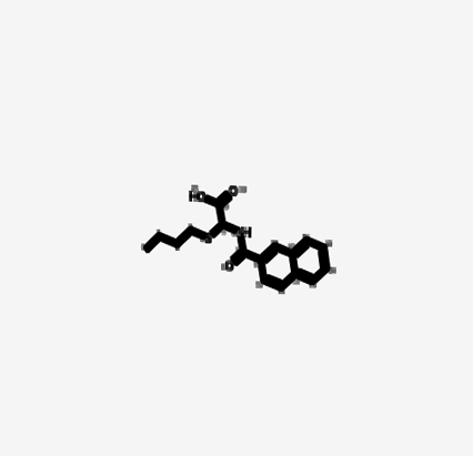 CCCCSC(NC(=O)c1ccc2ccccc2c1)C(=O)O